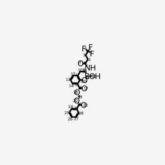 O=C(CCC(F)(F)F)N[C@H]1Cc2cccc(C(=O)OCOC(=O)c3ccccc3)c2OB1O